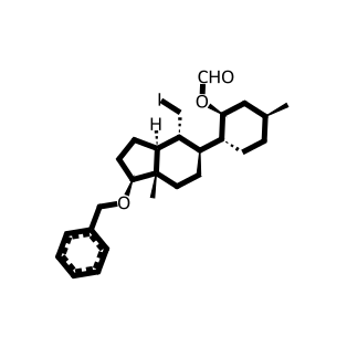 C[C@H]1CC[C@H]([C@H]2CC[C@]3(C)[C@@H](OCc4ccccc4)CC[C@H]3[C@@H]2CI)[C@@H](OC=O)C1